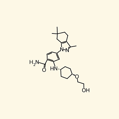 Cc1nn(-c2ccc(C(N)=O)c(N[C@H]3CC[C@H](OCCO)CC3)c2)c2c1CCC(C)(C)C2